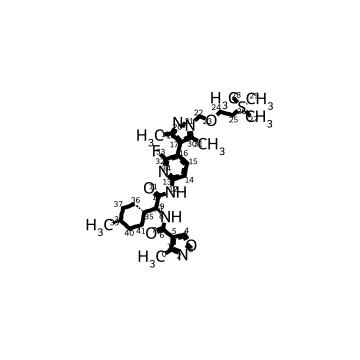 Cc1nocc1C(=O)N[C@H](C(=O)Nc1ccc(-c2c(C)nn(COCCS(C)(C)C)c2C)c(F)n1)[C@H]1CC[C@H](C)CC1